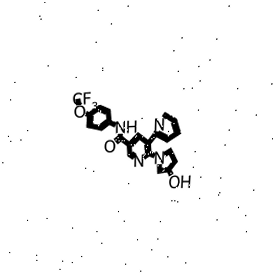 O=C(Nc1ccc(OC(F)(F)F)cc1)c1cnc(N2CCC(O)C2)c(-c2ccccn2)c1